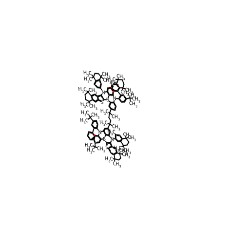 Cc1cc2c3c(c1)N(c1ccc4c(c1)C(C)(C)CCC4(C)C)c1c(sc4cc5c(cc14)C(C)(C)CCC5(C)C)B3c1cc(C(C)(C)CCC(C)(C)c3cc4c5c(c3)N(c3cc6c(cc3C)C(C)(C)CCC6(C)C)c3c(sc6cc7c(cc36)C(C)(C)CCC7(C)C)B5c3cc(C(C)(C)C)ccc3N4c3ccc(C(C)(C)C)cc3-c3ccccc3)ccc1N2c1ccc(C(C)(C)C)cc1-c1cccc2c1C(C)(C)CCC2(C)C